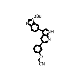 CC(C)(C)n1cnc2ccc(-c3c[nH]c4ncc(-c5cccc(OCC#N)c5)cc34)cc21